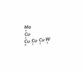 [Cu].[Cu].[Cu].[Cu].[Mo].[W]